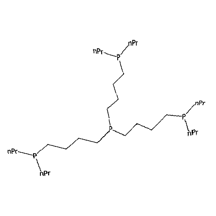 CCCP(CCC)CCCCP(CCCCP(CCC)CCC)CCCCP(CCC)CCC